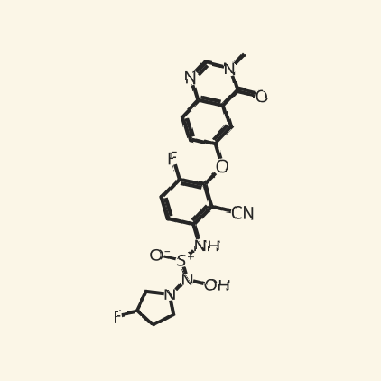 Cn1cnc2ccc(Oc3c(F)ccc(N[S+]([O-])N(O)N4CCC(F)C4)c3C#N)cc2c1=O